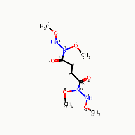 CONN(OC)C(=O)CCC(=O)N(NOC)OC